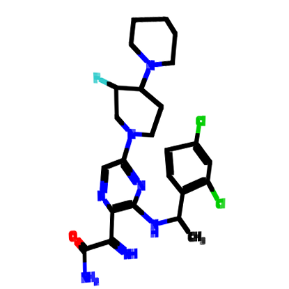 CC(Nc1nc(N2CCC(N3CCCCC3)C(F)C2)cnc1C(=N)C(N)=O)c1ccc(Cl)cc1Cl